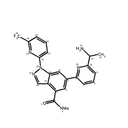 CNC(=O)c1cc(-c2cccc(C(C)N)n2)cc2c1cnn2-c1cccc(C(F)(F)F)n1